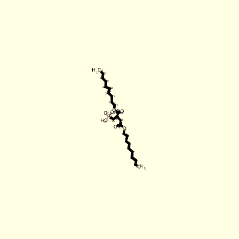 CCCCCCCCCCOC(=O)CC(CP(=O)(O)O)C(=O)OCCCCCCCCCC